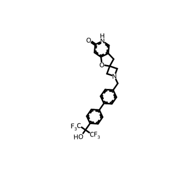 O=c1cc2c(c[nH]1)CC1(CN(Cc3ccc(-c4ccc(C(O)(C(F)(F)F)C(F)(F)F)cc4)cc3)C1)O2